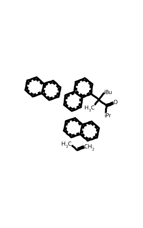 C=CC.CCC(C)C(C)(C(=O)C(C)C)c1cccc2ccccc12.c1ccc2ccccc2c1.c1ccc2ccccc2c1